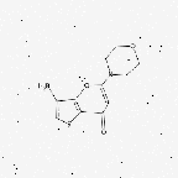 Bc1csc2c(=O)cc(N3CCOCC3)oc12